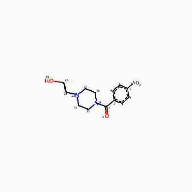 O=C(c1ccc([N+](=O)[O-])cc1)N1CCN(CCO)CC1